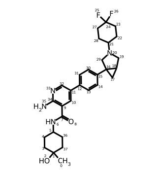 CC1(O)CCC(NC(=O)c2cc(-c3ccc(C45CC4CN(C4CCC(F)(F)CC4)C5)cc3)cnc2N)CC1